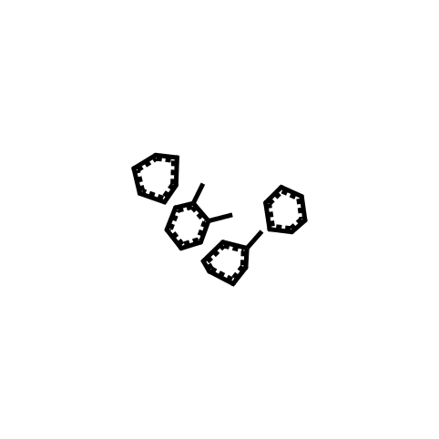 Cc1ccccc1.Cc1ccccc1C.c1ccccc1.c1ccccc1